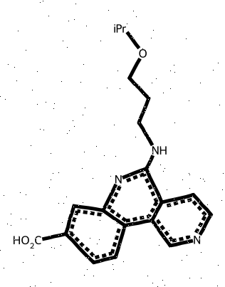 CC(C)OCCCNc1nc2cc(C(=O)O)ccc2c2cnccc12